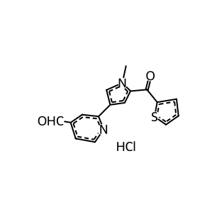 Cl.Cn1cc(-c2cc(C=O)ccn2)cc1C(=O)c1cccs1